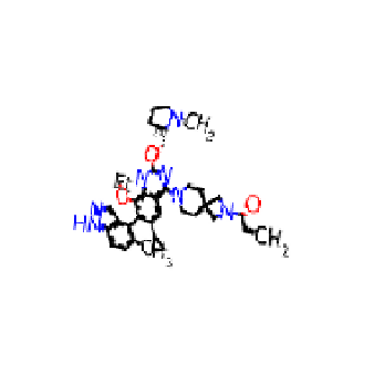 C=CC(=O)N1CC2(CCN(c3nc(OC[C@@H]4CCCN4C)nc4c(OCC)c(-c5c(C)ccc6[nH]ncc56)c(C5CC5)cc34)CC2)C1